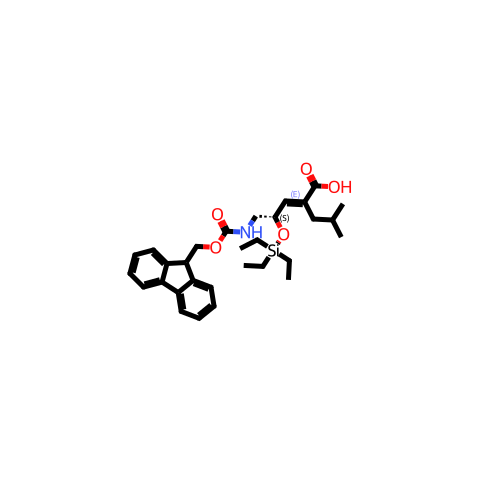 CC[Si](CC)(CC)O[C@@H](/C=C(\CC(C)C)C(=O)O)CNC(=O)OCC1c2ccccc2-c2ccccc21